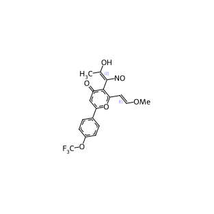 CO/C=C/c1oc(-c2ccc(OC(F)(F)F)cc2)cc(=O)c1/C(N=O)=C(\C)O